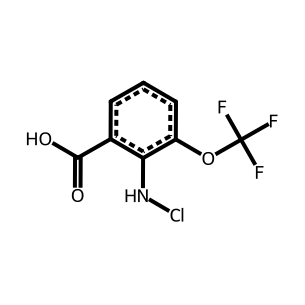 O=C(O)c1cccc(OC(F)(F)F)c1NCl